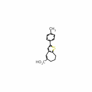 Cc1ccc(-c2cc3c(s2)CCCC(C(=O)O)=C3)cc1